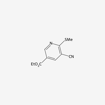 CCOC(=O)c1cnc(SC)c(C#N)c1